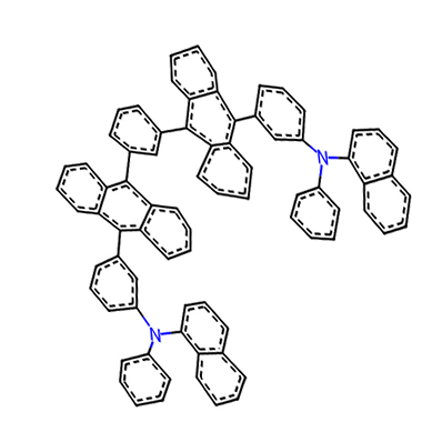 c1ccc(N(c2cccc(-c3c4ccccc4c(-c4cccc(-c5c6ccccc6c(-c6cccc(N(c7ccccc7)c7cccc8ccccc78)c6)c6ccccc56)c4)c4ccccc34)c2)c2cccc3ccccc23)cc1